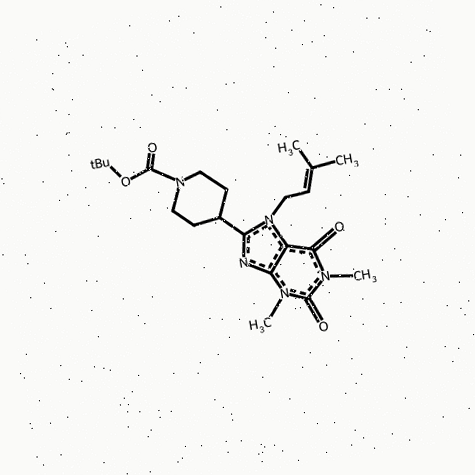 CC(C)=CCn1c(C2CCN(C(=O)OC(C)(C)C)CC2)nc2c1c(=O)n(C)c(=O)n2C